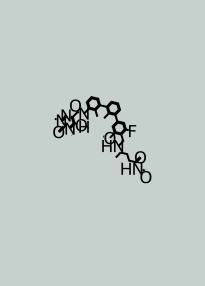 COc1cc(-c2cccc(-c3cccc(NC(=O)c4nn(C)c(=O)n(C)c4=O)c3C)c2C)cc(F)c1CNC(C)CCC(=O)NC=O